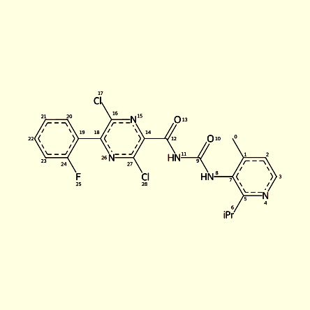 Cc1ccnc(C(C)C)c1NC(=O)NC(=O)c1nc(Cl)c(-c2ccccc2F)nc1Cl